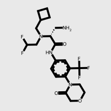 NC[C@H](C(=O)Nc1ccc(N2CCOCC2=O)c(C(F)(F)F)c1)N(CC(F)F)CC1CCC1